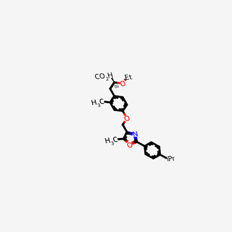 CCO[C@@H](Cc1ccc(OCc2nc(-c3ccc(C(C)C)cc3)oc2C)cc1C)C(=O)O